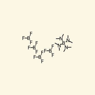 CN(C)[B-](N(C)C)(N(C)C)N(C)C.FB(F)F.FB(F)F.FB(F)F.FB(F)F